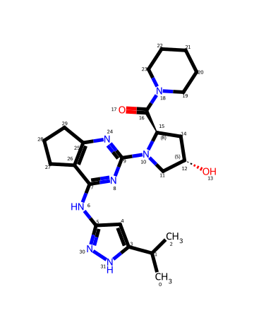 CC(C)c1cc(Nc2nc(N3C[C@@H](O)C[C@@H]3C(=O)N3CCCCC3)nc3c2CCC3)n[nH]1